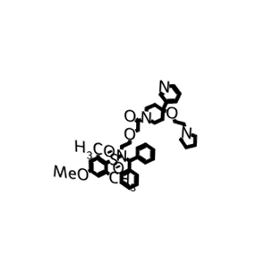 COc1cc(C)c(S(=O)(=O)N(CCOCC(=O)N2CCC(OCCN3CCCC3)(c3cccnc3)CC2)C(c2ccccc2)c2ccccc2)c(C)c1